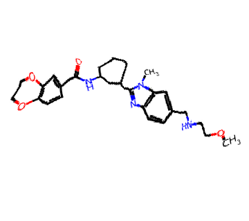 COCCNCc1ccc2nc(C3CCCC(NC(=O)c4ccc5c(c4)OCCO5)C3)n(C)c2c1